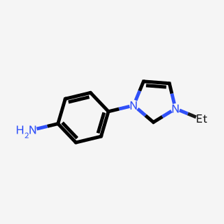 CCN1C=CN(c2ccc(N)cc2)C1